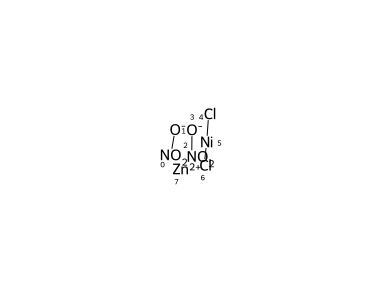 O=[N+]([O-])[O-].O=[N+]([O-])[O-].[Cl][Ni][Cl].[Zn+2]